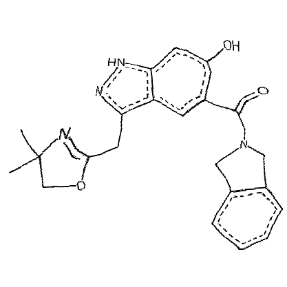 CC1(C)COC(Cc2n[nH]c3cc(O)c(C(=O)N4Cc5ccccc5C4)cc23)=N1